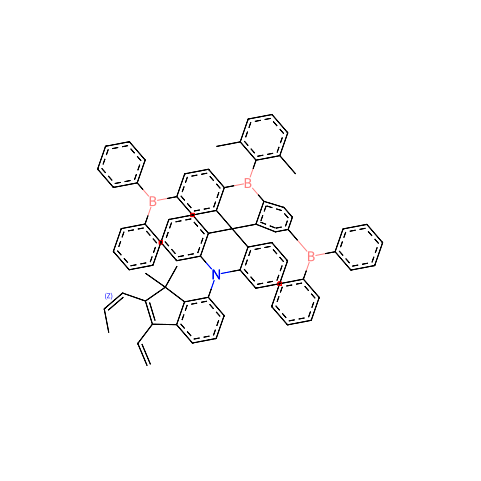 C=CC1=C(/C=C\C)C(C)(C)c2c1cccc2N1c2ccccc2C2(c3cc(B(c4ccccc4)c4ccccc4)ccc3B(c3c(C)cccc3C)c3ccc(B(c4ccccc4)c4ccccc4)cc32)c2ccccc21